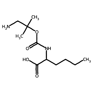 CCCCC(NC(=O)OC(C)(C)CN)C(=O)O